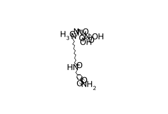 CN(CCCCCCCCCCCC(=O)NCCc1ccc(S(N)(=O)=O)cc1)Cc1nccn1CC(=O)N(CC(=O)O)CC(=O)O